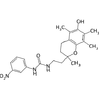 Cc1c(C)c2c(c(C)c1O)CCC(C)(CCNC(=O)Nc1cccc([N+](=O)[O-])c1)O2